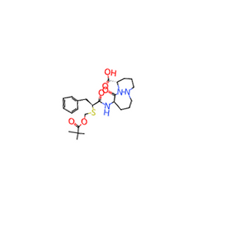 CC(C)(C)C(=O)OCS[C@@H](Cc1ccccc1)C(=O)NC1CCCN2CCC[C@@H](C(=O)O)N2C1=O